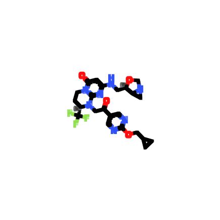 O=C(CN1c2nc(NC[C@H]3OCN4CC34)cc(=O)n2CC[C@H]1C(F)(F)F)c1cnc(OCC2CC2)nc1